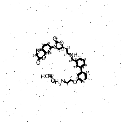 NCCOc1cc(-c2cccc(CNCC[C@H]3CN(c4ccc5ncc(=O)oc5n4)C(=O)O3)c2)ccn1.O=CO